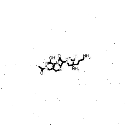 CC(=O)OCC1=C(C(=O)O)N2C(=O)C(NCC(N)(CCCN)C(F)F)C2SC1